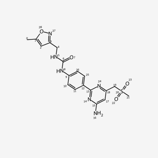 Cc1cc(CNC(=O)Nc2ccc(-c3nc(N)cc(CS(C)(=O)=O)n3)cc2)no1